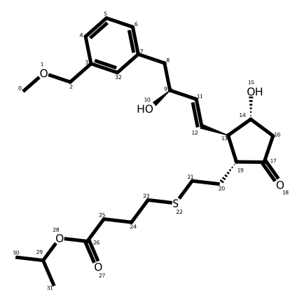 COCc1cccc(C[C@H](O)/C=C/[C@H]2[C@H](O)CC(=O)[C@@H]2CCSCCCC(=O)OC(C)C)c1